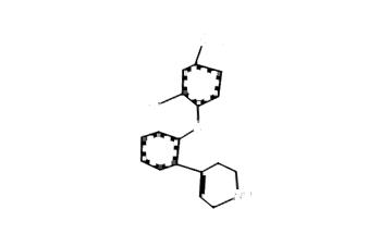 Cc1ccc(Sc2ccccc2C2=CCNCC2)c(Cl)c1